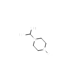 CC(O)N1CCN(C)CC1